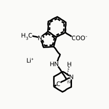 Cn1cc(CN[C@@H]2CC3CCN2CC3)c2c(C(=O)[O-])cccc21.[Li+]